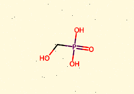 O=P(O)(O)[CH]O